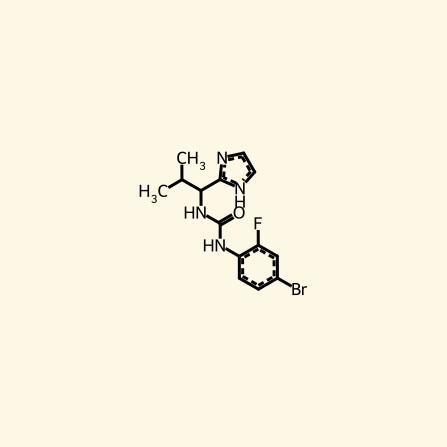 CC(C)C(NC(=O)Nc1ccc(Br)cc1F)c1ncc[nH]1